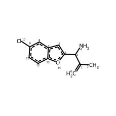 C=C(C)C(N)c1cc2cc(Cl)ccc2o1